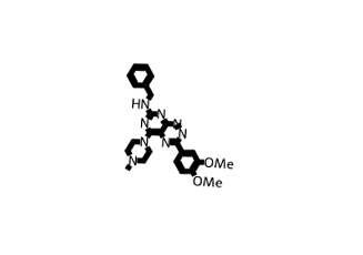 COc1ccc(-c2nnc3nc(NCc4ccccc4)nc(N4CCN(C)CC4)c3n2)cc1OC